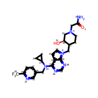 NC(=O)CN1CCC(Cn2ccc3c(N(Cc4ccc(C(F)(F)F)nc4)C4CC4)ncnc32)[C@@H](O)C1